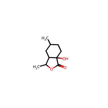 CC1CCC2(O)C(=O)OC(C)C2C1